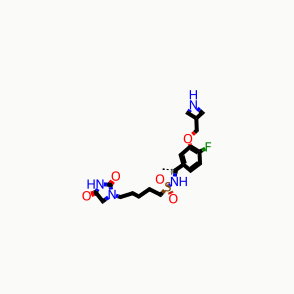 C[C@@H](NS(=O)(=O)CCCCCN1CC(=O)NC1=O)c1ccc(F)c(OCC2CNC2)c1